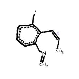 C=Nc1cccc(I)c1/C=C\C